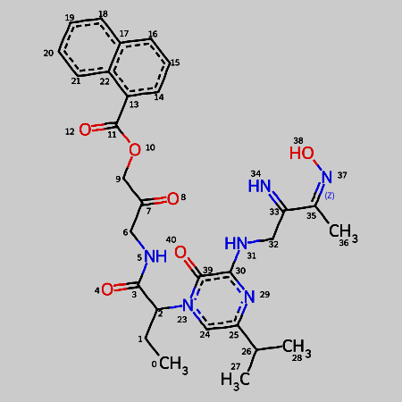 CCC(C(=O)NCC(=O)COC(=O)c1cccc2ccccc12)n1cc(C(C)C)nc(NCC(=N)/C(C)=N\O)c1=O